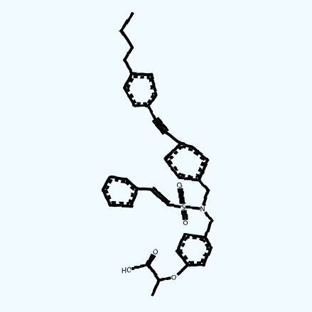 CCCCc1ccc(C#Cc2ccc(CN(Cc3ccc(OC(C)C(=O)O)cc3)S(=O)(=O)C=Cc3ccccc3)cc2)cc1